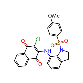 COc1ccc(S(=O)(=O)N2CCc3cccc(NC4=C(Cl)C(=O)c5ccccc5C4=O)c32)cc1